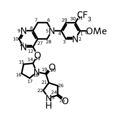 COc1ncc(N2CCc3ncnc(OC4CCCN4C(=O)C4CNC(=O)C4)c3C2)cc1C(F)(F)F